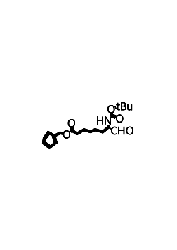 CC(C)(C)OC(=O)N[C@H](C=O)CCCCCC(=O)OCc1ccccc1